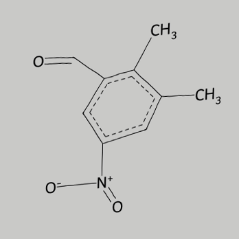 Cc1cc([N+](=O)[O-])cc(C=O)c1C